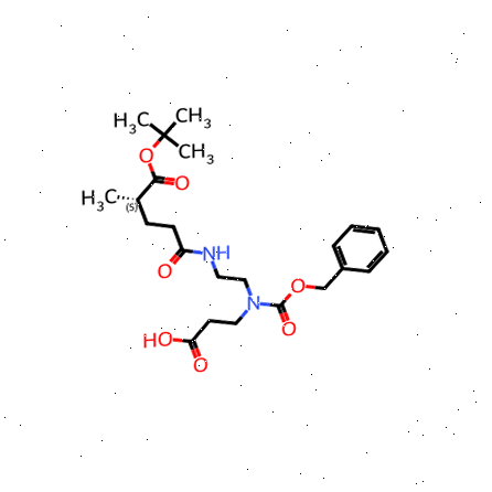 C[C@@H](CCC(=O)NCCN(CCC(=O)O)C(=O)OCc1ccccc1)C(=O)OC(C)(C)C